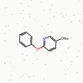 COc1ccc(Oc2ccccc2)nc1